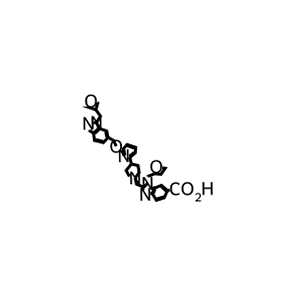 O=C(O)c1ccc2nc(CN3CCC(c4cccc(OCc5ccc6cnn(CC7COC7)c6c5)n4)CC3)n(CC3CCO3)c2c1